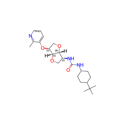 Cc1ncccc1O[C@H]1CO[C@H]2[C@@H]1OC[C@@H]2NC(=O)NC1CCC(C(C)(C)C)CC1